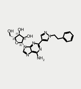 Nc1nc(-c2cnn(CCc3ccccc3)c2)nc2c1ncn2[C@@H]1O[C@H](CO)[C@@H](O)[C@H]1O